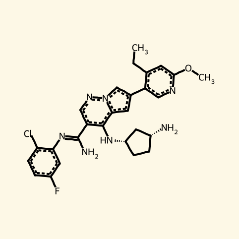 CCc1cc(OC)ncc1-c1cc2c(N[C@H]3CC[C@@H](N)C3)c(C(N)=Nc3cc(F)ccc3Cl)cnn2c1